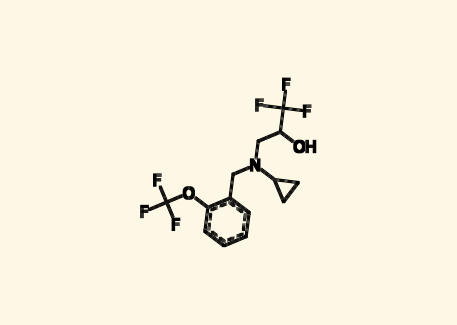 OC(CN(Cc1ccccc1OC(F)(F)F)C1CC1)C(F)(F)F